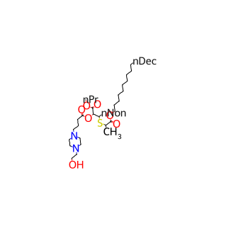 CCCCCCCCCCCCCCCCCCCCOC(=O)C(C)SC(CCCCCCCCC)C(OC(=O)CCCN1CCN(CCO)CC1)C(=O)OCCC